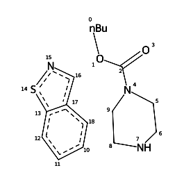 CCCCOC(=O)N1CCNCC1.c1ccc2sncc2c1